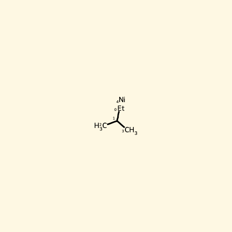 [CH2]CC(C)C.[Ni]